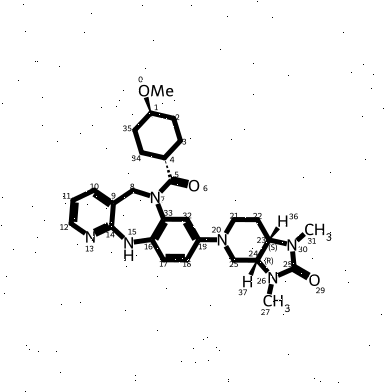 CO[C@H]1CC[C@H](C(=O)N2Cc3cccnc3Nc3ccc(N4CC[C@H]5[C@@H](C4)N(C)C(=O)N5C)cc32)CC1